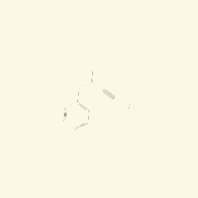 CC(C#CS)Cc1ccccc1